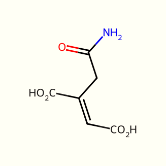 NC(=O)CC(=CC(=O)O)C(=O)O